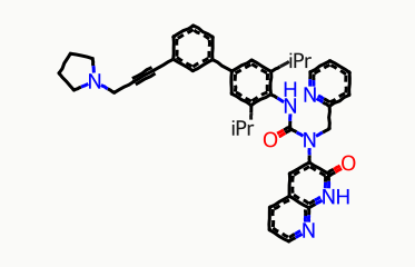 CC(C)c1cc(-c2cccc(C#CCN3CCCC3)c2)cc(C(C)C)c1NC(=O)N(Cc1ccccn1)c1cc2cccnc2[nH]c1=O